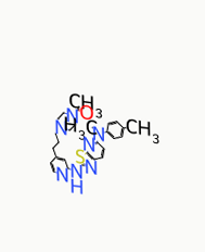 CC(=O)N1CCN(CCCc2ccnc(Nc3nc4ccc(N(C)c5ccc(C)cc5)nc4s3)c2)CC1